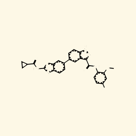 COc1cc(F)ccc1NC(=O)c1n[nH]c2ccc(-c3ccc4nc(NC(=O)C5CC5)sc4c3)cc12